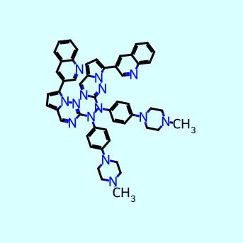 CN1CCN(c2ccc(N(c3ncc4ccc(-c5cnc6ccccc6c5)n4n3)N(c3ccc(N4CCN(C)CC4)cc3)c3ncc4ccc(-c5cnc6ccccc6c5)n4n3)cc2)CC1